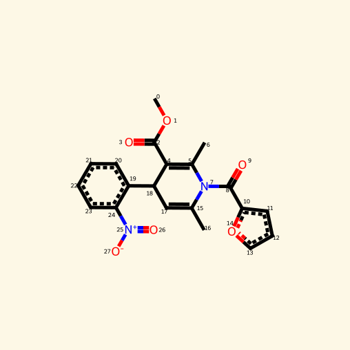 COC(=O)C1=C(C)N(C(=O)c2ccco2)C(C)=CC1c1ccccc1[N+](=O)[O-]